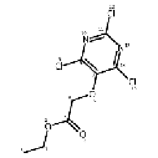 CCOC(=O)COc1c(Cl)nc(Cl)nc1Cl